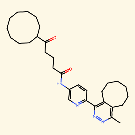 Cc1nnc(-c2ccc(NC(=O)CCCC(=O)C3CCCCCCCCC3)cn2)c2c1CCCCCC2